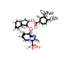 COc1ccc(C(=O)O[C@@H]2Cc3ccccc3[C@H]2Oc2cccn3c(CO)c(C)nc23)cc1OC